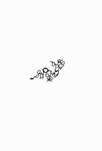 C=CCOC(=O)Nc1cccc(CN(C(=O)OC(C)(C)C)c2nccc(N3CCOC([Si](C)(C)C)C3)c2COCOCC)c1